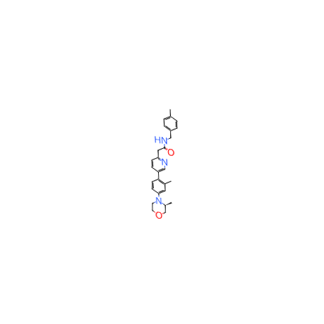 Cc1ccc(CNC(=O)Cc2ccc(-c3ccc(N4CCOC[C@@H]4C)cc3C)cn2)cc1